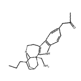 CCCC1CC2CN3CCc4c([nH]c5ccc(CC(C)=O)cc45)C(CN)(C2)C13